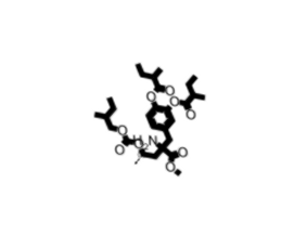 CCC(C)COC(=O)O[C@@H](C)CC(N)(Cc1ccc(OC(=O)C(C)CC)c(OC(=O)C(C)CC)c1)C(=O)OC